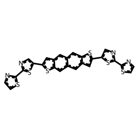 c1csc(-c2ncc(-c3cc4cc5cc6sc(-c7cnc(-c8nccs8)s7)cc6cc5cc4s3)s2)n1